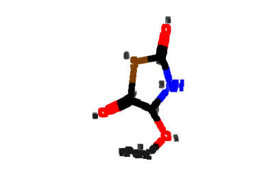 CCCCCOC1NC(=O)SC1=O